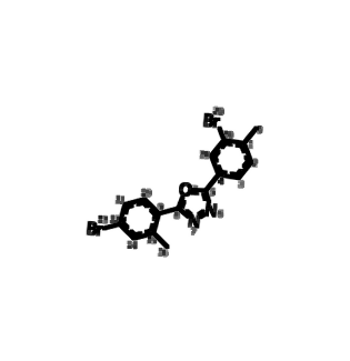 Cc1ccc(-c2nnc(-c3ccc(Br)cc3C)o2)cc1Br